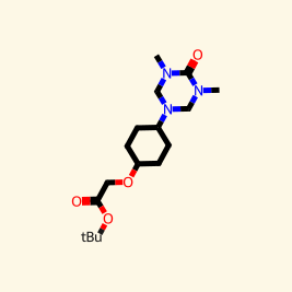 CN1CN(C2CCC(OCC(=O)OC(C)(C)C)CC2)CN(C)C1=O